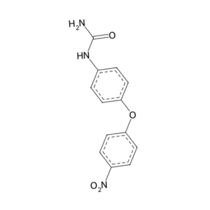 NC(=O)Nc1ccc(Oc2ccc([N+](=O)[O-])cc2)cc1